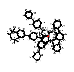 CC1CC(C)(C)c2cc(-c3ccc(-c4ccc(-n5c6ccccc6c6ccc7c8ccccc8n(-c8nc(-c9ccc(-c%10ccccc%10)cc9)nc(-c9ccc(C%10C=CC=CC%10)cc9)n8)c7c65)cc4)cc3)ccc2C1(C)C